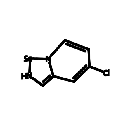 ClC1=CC2=CN[Se]N2C=C1